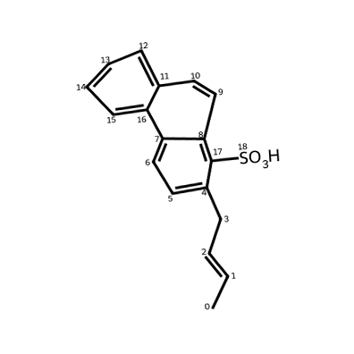 CC=CCc1ccc2c(ccc3ccccc32)c1S(=O)(=O)O